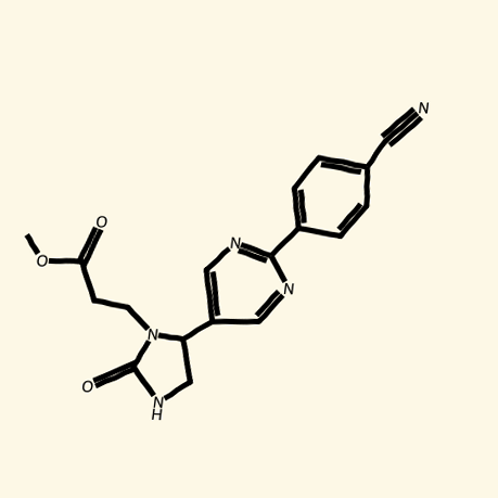 COC(=O)CCN1C(=O)NCC1c1cnc(-c2ccc(C#N)cc2)nc1